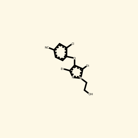 CCc1nn(CCO)c(CC)c1Oc1ccc(C#N)cc1Cl